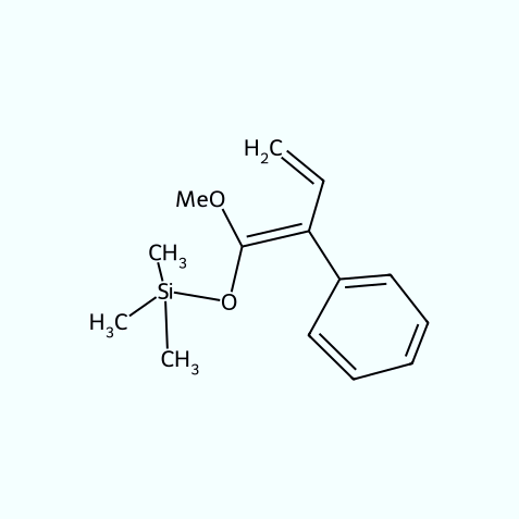 C=CC(=C(OC)O[Si](C)(C)C)c1ccccc1